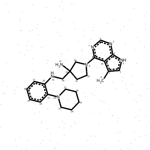 Cc1c[nH]c2ncnc(N3CCC(N)(CNc4ccccc4N4CCCCC4)C3)c12